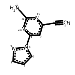 C#Cc1cc(-n2cccn2)nc(N)n1